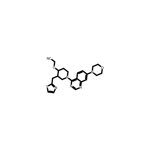 N#CCOC1CCN(c2ncnc3cc(N4CCOCC4)ccc23)CC1Cc1nccs1